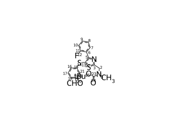 CN(Cc1nc(-c2ccccc2F)c(Sc2cccc(C=O)c2)s1)C(=O)OC(C)(C)C